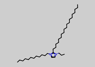 CCCCCCCCCCCCCCCCCCCc1n(CCCCCCCCCCCC)cc[n+]1CCC